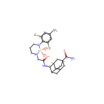 Cc1cc(Br)c(N2CCCN(CC(=O)NC3C4CC5CC3CC(C(N)=O)(C5)C4)S2(O)O)c(Br)c1